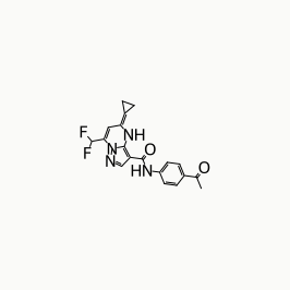 CC(=O)c1ccc(NC(=O)c2cnn3c2NC(=C2CC2)C=C3C(F)F)cc1